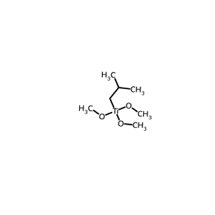 C[O][Ti]([CH2]C(C)C)([O]C)[O]C